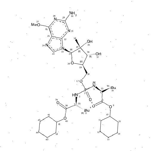 CC[C@@H](C)[C@H](NP(=O)(N[C@H](C(=O)OC1CCCCC1)[C@H](C)CC)OC[C@H]1O[C@@H](n2cnc3c(OC)nc(N)nc32)[C@](C)(O)[C@@H]1O)C(=O)OC1CCCCC1